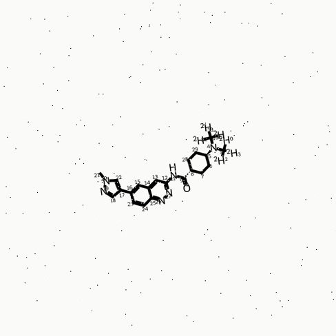 [2H]C([2H])([2H])N([C@H]1CC[C@H](C(=O)Nc2cc3cc(-c4cnn(C)c4)ccc3nn2)CC1)C([2H])([2H])[2H]